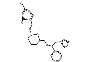 Clc1ccc(CO[C@H]2CCC[C@H](COC(Cn3ccnc3)c3ccccc3)O2)c(Cl)c1